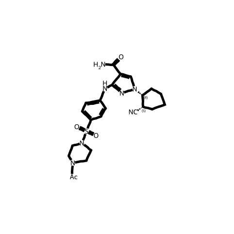 CC(=O)N1CCN(S(=O)(=O)c2ccc(Nc3nn([C@@H]4CCCC[C@@H]4C#N)cc3C(N)=O)cc2)CC1